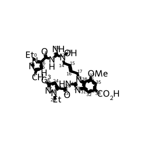 CCn1nc(C)cc1C(=O)NC(=N)N(O)C/C=C/Cn1c(NC(=O)c2cc(C)nn2CC)nc2cc(C(=O)O)cc(OC)c21